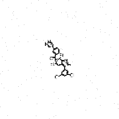 CCC1Cc2c(nn(C)c2-c2cc(Cl)cc(Cl)c2)C(CC)N1C(=O)c1cccc(-n2cnnc2)c1